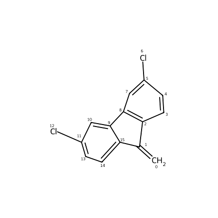 C=C1c2ccc(Cl)cc2-c2cc(Cl)ccc21